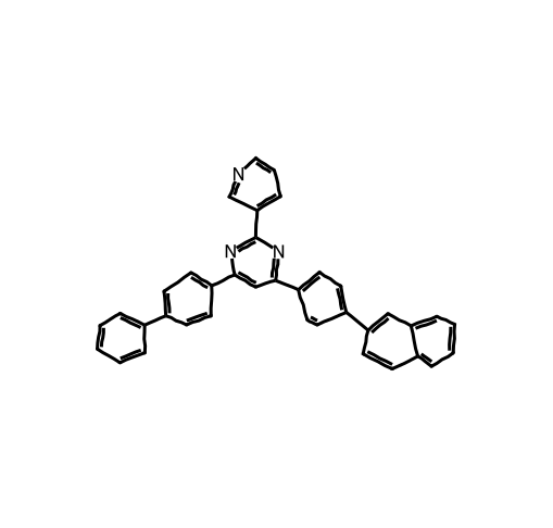 c1ccc(-c2ccc(-c3cc(-c4ccc(-c5ccc6ccccc6c5)cc4)nc(-c4cccnc4)n3)cc2)cc1